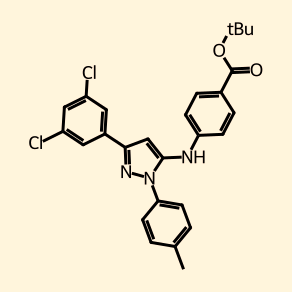 Cc1ccc(-n2nc(-c3cc(Cl)cc(Cl)c3)cc2Nc2ccc(C(=O)OC(C)(C)C)cc2)cc1